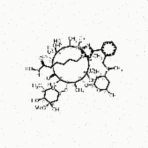 CC[C@H]1OC(=O)[C@H](C)[C@@H](O[C@H]2C[C@@](C)(OC)[C@@H](O)[C@H](C)O2)[C@H](C)[C@@H](O[C@@H]2O[C@H](C)C[C@H](N(C)Cc3ccccc3-c3cn(CCCCCC(=O)NO)nn3)[C@H]2O)[C@](C)(O)C[C@@H](C)CN(C)[C@H](C)[C@@H](O)[C@]1(C)O